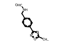 Cc1nc(-c2ccc(CNC=O)cc2)no1